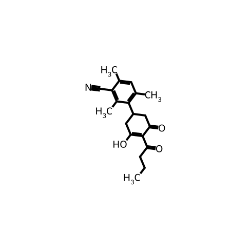 CCCC(=O)C1=C(O)CC(c2c(C)cc(C)c(C#N)c2C)CC1=O